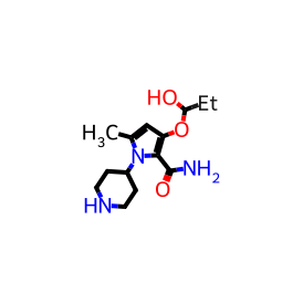 CCC(O)Oc1cc(C)n(C2CCNCC2)c1C(N)=O